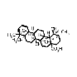 C[C@@H]1[C@H]2[C@H]3CC[C@@H]4[C@@]5(C)C=CCC(C)(C)[C@@H]5CC[C@@]4(C)[C@]3(C)CC[C@@]2(C(=O)O)CC[C@H]1C